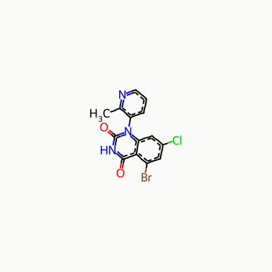 Cc1ncccc1-n1c(=O)[nH]c(=O)c2c(Br)cc(Cl)cc21